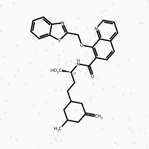 C=C1CC(C)CC(CC[C@H](NC(=O)c2ccc3cccnc3c2OCc2nc3ccccc3s2)C(=O)O)C1